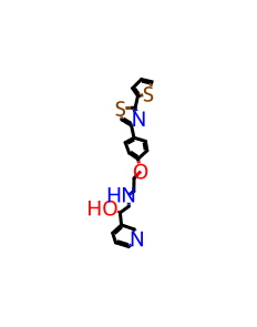 O[C@@H](CNCCOc1ccc(-c2csc(-c3cccs3)n2)cc1)c1cccnc1